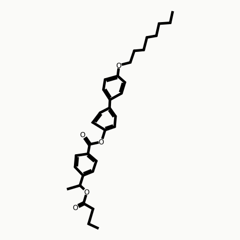 CCCCCCCCOc1ccc(-c2ccc(OC(=O)c3ccc(C(C)OC(=O)CCC)cc3)cc2)cc1